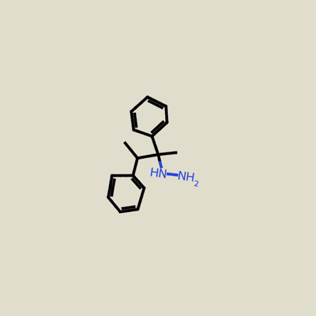 CC(c1ccccc1)C(C)(NN)c1ccccc1